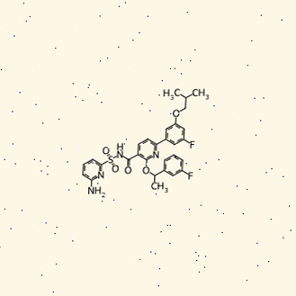 CC(C)COc1cc(F)cc(-c2ccc(C(=O)NS(=O)(=O)c3cccc(N)n3)c(OC(C)c3cccc(F)c3)n2)c1